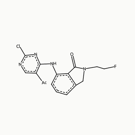 CC(=O)c1cnc(Cl)nc1Nc1cccc2c1C(=O)N(CCF)C2